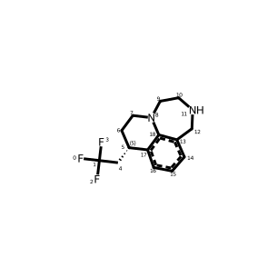 FC(F)(F)C[C@@H]1CCN2CCNCc3cccc1c32